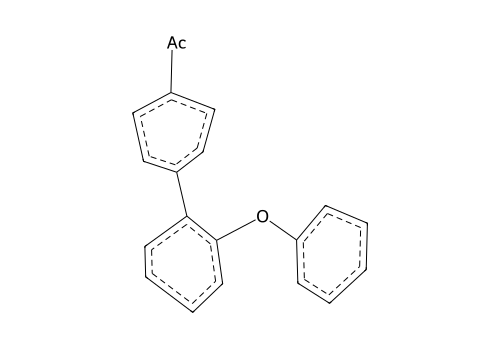 CC(=O)c1ccc(-c2ccccc2Oc2ccccc2)cc1